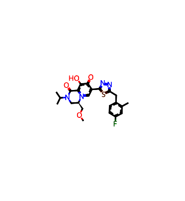 COC[C@H]1CN(C(C)C)C(=O)c2c(O)c(=O)c(-c3nnc(Cc4ccc(F)cc4C)s3)cn21